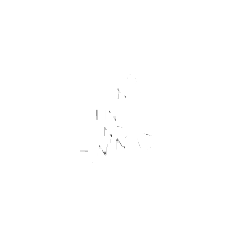 Nc1nc(NCCN2CCOCC2)cc(-c2ccccc2)n1